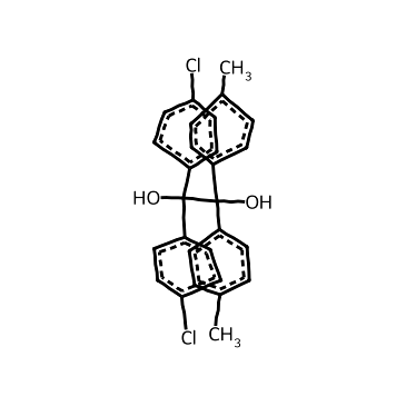 Cc1ccc(C(O)(c2ccc(C)cc2)C(O)(c2ccc(Cl)cc2)c2ccc(Cl)cc2)cc1